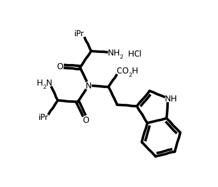 CC(C)C(N)C(=O)N(C(=O)C(N)C(C)C)C(Cc1c[nH]c2ccccc12)C(=O)O.Cl